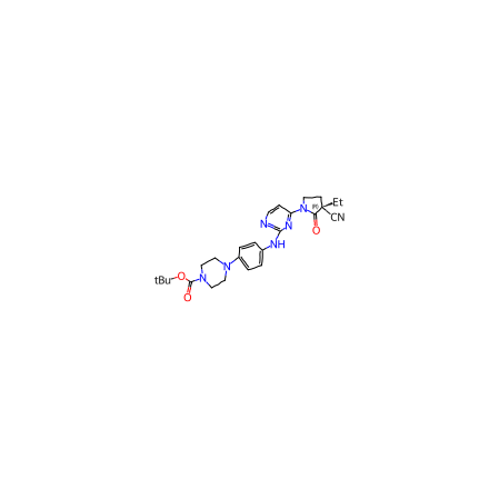 CC[C@]1(C#N)CCN(c2ccnc(Nc3ccc(N4CCN(C(=O)OC(C)(C)C)CC4)cc3)n2)C1=O